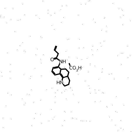 C=CCC(=O)NC1=CC=CC2=C3NCCCC3CCC12.CC(=O)O